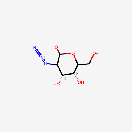 [N-]=[N+]=NC1C(O)OC(CO)[C@H](O)[C@@H]1O